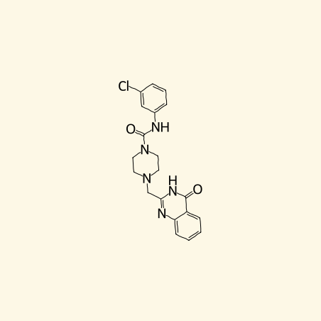 O=C(Nc1cccc(Cl)c1)N1CCN(Cc2nc3ccccc3c(=O)[nH]2)CC1